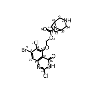 O=C(OCOc1c(Cl)c(Br)cc2nc(Cl)[nH]c(=O)c12)N1C2CCC1CNC2